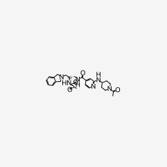 CC(=O)N1CCC(Nc2cc(C(=O)NC[C@@H](CN3Cc4ccccc4C3)NS(C)(=O)=O)ccn2)CC1